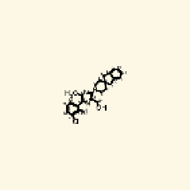 Cc1nc(N2CCC3(CC2)Cc2ccccc2C3)c(CO)nc1-c1cccc(Cl)c1Cl